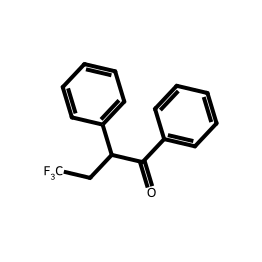 O=C(c1ccccc1)C(CC(F)(F)F)c1ccccc1